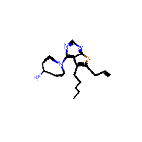 C=CCc1sc2ncnc(N3CCC(N)CC3)c2c1CCCCC